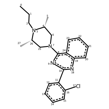 CCCN1[C@H](C)CN(c2nc(-c3ccccc3Cl)nc3ccccc23)C[C@@H]1C